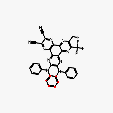 N#Cc1nc2c(nc1C#N)c1nc(N(c3ccccc3)c3ccccc3)c(N(c3ccccc3)c3ccccc3)nc1c1nc(C(F)(F)F)c(CF)nc21